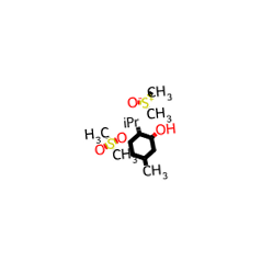 CC1CCC(C(C)C)C(O)C1.CS(C)(=O)=O.C[S+](C)[O-]